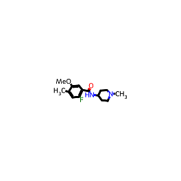 COc1cc(C(=O)NC2CCN(C)CC2)c(F)cc1C